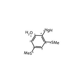 CSc1cc[c]([HgH])c(SC)c1.O